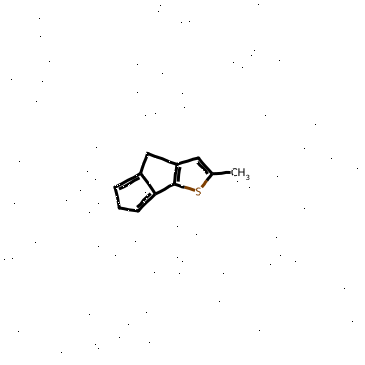 Cc1cc2c(s1)C1=CCC=C1C2